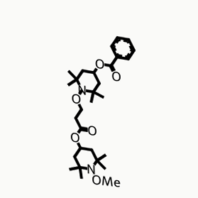 CON1C(C)(C)CC(OC(=O)CCON2C(C)(C)CC(OC(=O)c3ccccc3)CC2(C)C)CC1(C)C